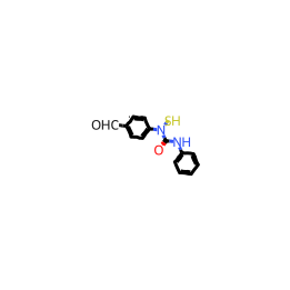 O=Cc1[c]cc(N(S)C(=O)Nc2ccccc2)cc1